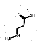 NBCCC(=O)O